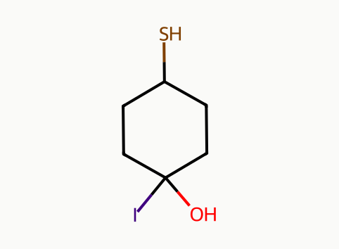 OC1(I)CCC(S)CC1